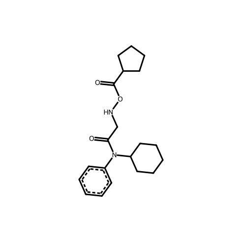 O=C(ONCC(=O)N(c1ccccc1)C1CCCCC1)C1CCCC1